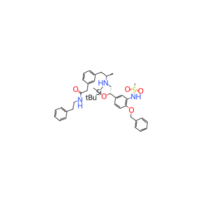 C[C@H](Cc1cccc(CC(=O)NCCc2ccccc2)c1)NC[C@@H](O[Si](C)(C)C(C)(C)C)c1ccc(OCc2ccccc2)c(NS(C)(=O)=O)c1